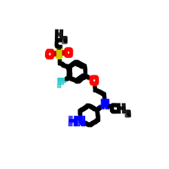 CN(CCOc1ccc(CS(C)(=O)=O)c(F)c1)C1CCNCC1